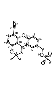 CC1(C)C=C(n2cc(COS(C)(=O)=O)ccc2=O)c2cc(C#N)ccc2O1